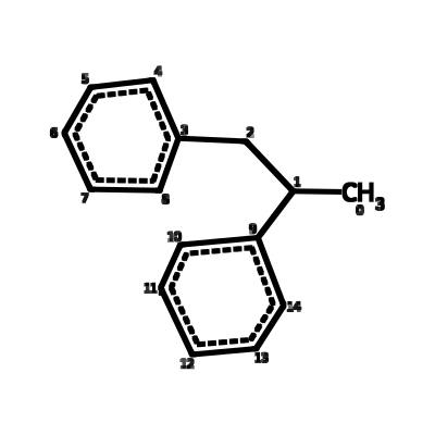 CC(Cc1ccccc1)c1c[c]ccc1